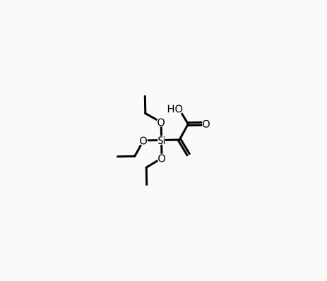 C=C(C(=O)O)[Si](OCC)(OCC)OCC